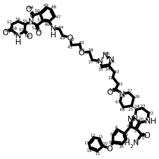 NC(=O)c1c(-c2ccc(Oc3ccccc3)cc2)nn2c1NCC[C@H]2C1CCN(C(=O)CCCc2cn(CCOCCOCCNc3cccc4c3C(=O)N(C3CCC(=O)NC3=O)C4=O)nn2)CC1